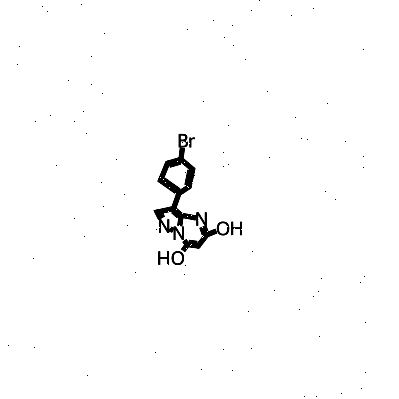 Oc1cc(O)n2ncc(-c3ccc(Br)cc3)c2n1